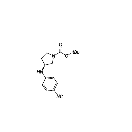 [C-]#[N+]c1ccc(N[C@H]2CCN(C(=O)OC(C)(C)C)C2)cc1